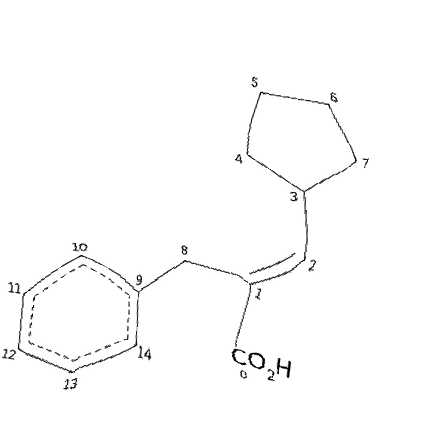 O=C(O)/C(=C/C1CCCC1)Cc1ccccc1